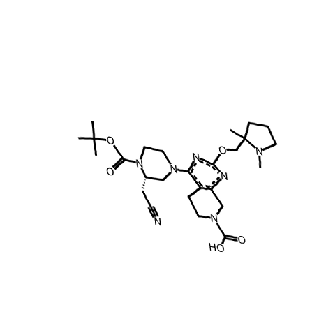 CN1CCCC1(C)COc1nc2c(c(N3CCN(C(=O)OC(C)(C)C)[C@@H](CC#N)C3)n1)CCN(C(=O)O)C2